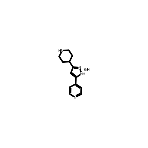 Br.c1cc(-c2cc(C3CCNCC3)n[nH]2)ccn1